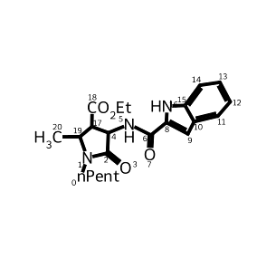 CCCCCN1C(=O)C(NC(=O)c2cc3ccccc3[nH]2)C(C(=O)OCC)C1C